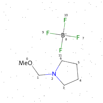 COCN1CCCC1.F[B-](F)(F)F